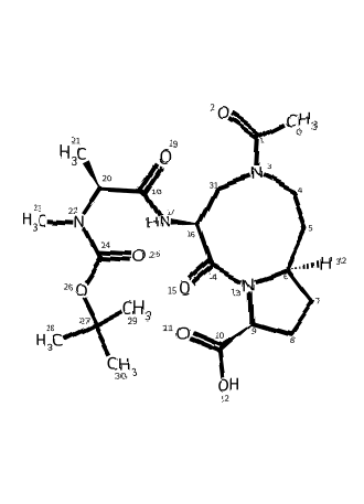 CC(=O)N1CC[C@H]2CC[C@@H](C(=O)O)N2C(=O)[C@@H](NC(=O)[C@H](C)N(C)C(=O)OC(C)(C)C)C1